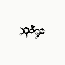 N#Cc1cncn1CC(O)(Cc1ccc(F)c(Cl)c1F)C1(Cl)CC1